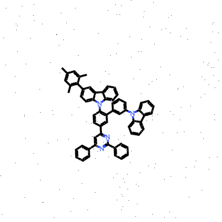 Cc1cc(C)c(-c2ccc3c(c2)c2ccccc2n3-c2ccc(-c3cc(-c4ccccc4)nc(-c4ccccc4)n3)cc2-c2cccc(-n3c4ccccc4c4ccccc43)c2)c(C)c1